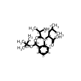 CC(C)CC(C(=O)O)N(C(=O)C(C)N)c1ccccc1C(=O)OC(C)(C)C